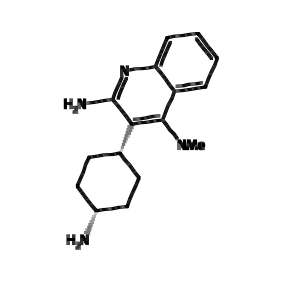 CNc1c2ccccc2nc(N)c1[C@H]1CC[C@@H](N)CC1